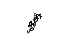 CC(C)(C)OC(=O)N1CCN(c2nc3ccc(C(F)(F)F)cc3n3cccc23)CC1